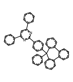 c1ccc(-c2cc(-c3ccccc3)nc(-c3ccc(C4(c5ccccc5)c5ccccc5-c5ccccc5-c5ccccc54)cc3)n2)cc1